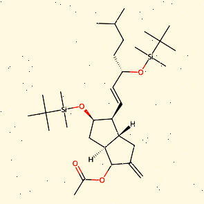 C=C1C[C@H]2[C@H](/C=C/[C@H](CCC(C)C)O[Si](C)(C)C(C)(C)C)[C@H](O[Si](C)(C)C(C)(C)C)C[C@@H]2C1OC(C)=O